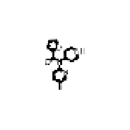 Cc1ccc(N(C(=O)c2ccco2)C2CCNCC2)nc1